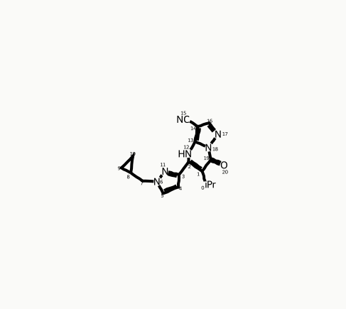 CC(C)c1c(-c2ccn(CC3CC3)n2)[nH]c2c(C#N)cnn2c1=O